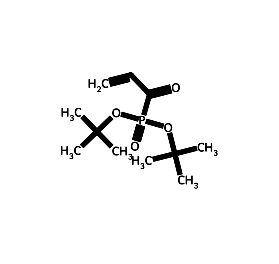 C=CC(=O)P(=O)(OC(C)(C)C)OC(C)(C)C